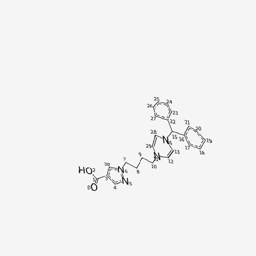 O=C(O)c1cnn(CCCCN2C=CN(C(c3ccccc3)c3ccccc3)C=C2)c1